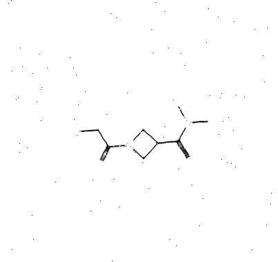 C=C(C1CN(C(=O)CC(C)(C)C)C1)N(C)C